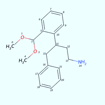 COC(OC)c1ccccc1C(CCN)Cc1ccccc1